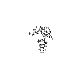 CC(=O)NC1C(OCCN(O)NC(Cc2ccccc2)C(=O)S)OC(COC(C)=O)C(C)C1C